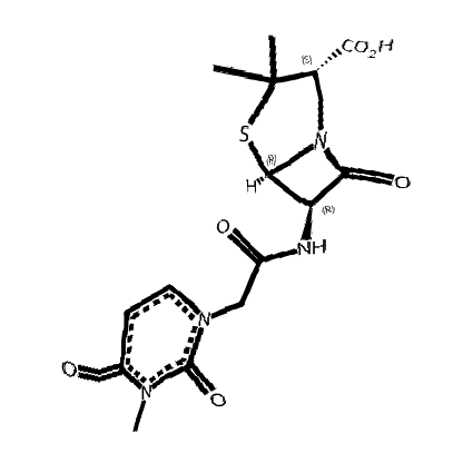 Cn1c(=O)ccn(CC(=O)N[C@@H]2C(=O)N3[C@@H]2SC(C)(C)[C@@H]3C(=O)O)c1=O